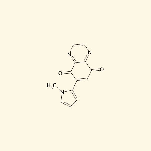 Cn1cccc1C1=CC(=O)c2nccnc2C1=O